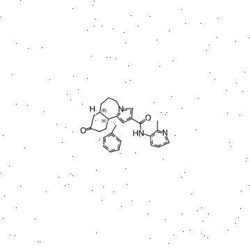 Cc1ncccc1NC(=O)c1cc2n(c1)CCC[C@@H]1CC(=O)CC[C@]21Cc1ccccc1